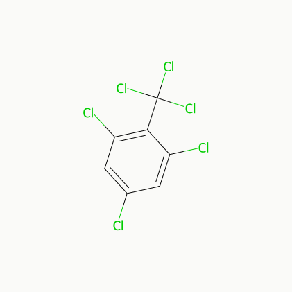 Clc1cc(Cl)c(C(Cl)(Cl)Cl)c(Cl)c1